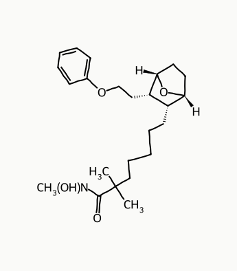 CN(O)C(=O)C(C)(C)CCCCC[C@@H]1[C@H](CCOc2ccccc2)[C@@H]2CC[C@H]1O2